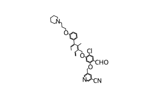 C=C/C(COc1cc(OCc2cncc(C#N)c2)c(C=O)cc1Cl)=C(C)\C(=C/C)c1cccc(OCCCN2CCCCC2)c1